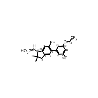 CC1(C)Cc2cc(-c3cc(F)cc(OCC(F)(F)F)c3)c(F)cc2[C@@H]1NC(=O)O